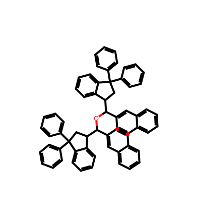 c1ccc(C2(c3ccccc3)CC(C(OC(c3ccc4ccccc4c3)C3CC(c4ccccc4)(c4ccccc4)c4ccccc43)c3ccc4ccccc4c3)c3ccccc32)cc1